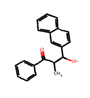 CC(C(=O)c1ccccc1)C(O)c1ccc2ccccc2c1